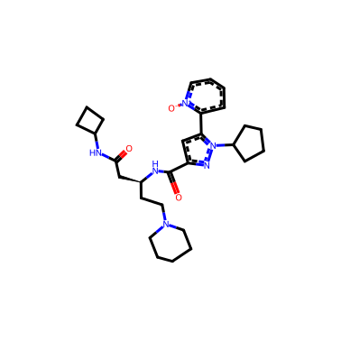 O=C(C[C@H](CCN1CCCCC1)NC(=O)c1cc(-c2cccc[n+]2[O-])n(C2CCCC2)n1)NC1CCC1